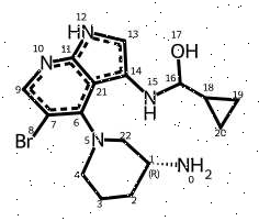 N[C@@H]1CCCN(c2c(Br)cnc3[nH]cc(NC(O)C4CC4)c23)C1